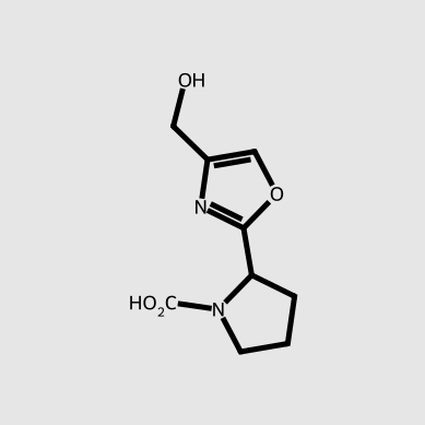 O=C(O)N1CCCC1c1nc(CO)co1